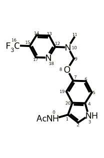 CC(=O)Nc1c[nH]c2ccc(OCN(C)c3ccc(C(F)(F)F)cn3)cc12